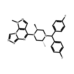 C[C@@H]1CN(c2nc3nncn3c3c2cnn3C)[C@@H](C)CN1C(c1ccc(F)cc1)c1ccc(F)cc1